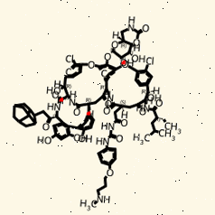 CC[C@H](CC(C)C)C(=O)N[C@H]1C(=O)C[C@@H](CC(=O)NC(=O)Nc2ccc(OCCCNC)cc2)C(=O)N[C@H]2C(=O)C[C@H]3C(=O)N[C@H](C(=O)N[C@H](C(=O)CC4C5CC6CC(C5)CC4C6)c4cc(O)cc(O)c4-c4cc3ccc4O)[C@H](O)c3ccc(c(Cl)c3)Oc3cc2cc(c3O[C@@H]2O[C@@H]3CNC(=O)O[C@H]3[C@H](O)[C@H]2O)Oc2ccc(cc2Cl)[C@H]1O